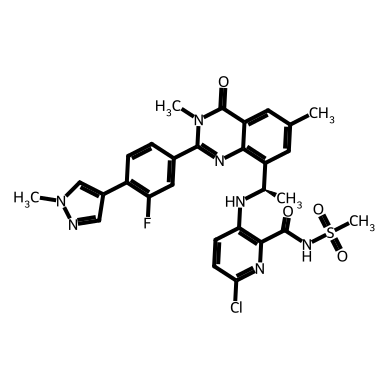 Cc1cc([C@@H](C)Nc2ccc(Cl)nc2C(=O)NS(C)(=O)=O)c2nc(-c3ccc(-c4cnn(C)c4)c(F)c3)n(C)c(=O)c2c1